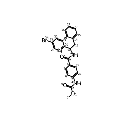 COC(=O)Nc1ccc(C(=O)NC(Cc2ccccc2)c2ccc(Br)cn2)cc1